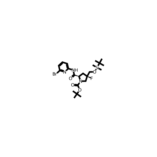 CC(C)(C)OC(=O)N1C[C@@](F)(CO[Si](C)(C)C(C)(C)C)C[C@@H]1C(=O)Nc1cccc(Br)n1